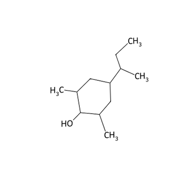 CCC(C)C1CC(C)C(O)C(C)C1